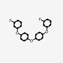 Fc1cccc(Oc2ccc(Oc3ccc(Oc4cccc(F)c4)cc3)cc2)c1